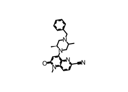 CC1CN(c2cc(=O)n(C)c3ccc(C#N)nc23)[C@@H](C)CN1Cc1ccccc1